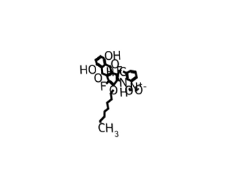 CCCCCCCCOc1c(F)c2c(c(F)c1Nc1c(C)cccc1[N+](=O)[O-])C(=O)c1c(O)ccc(O)c1C2=O